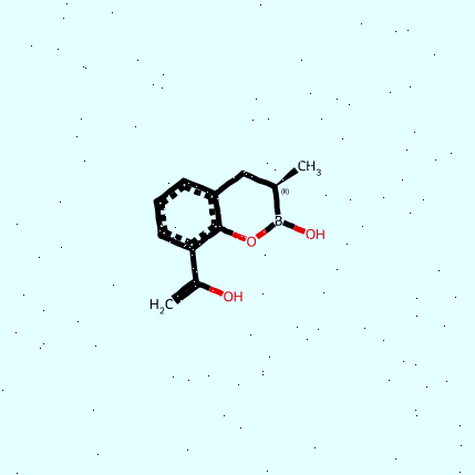 C=C(O)c1cccc2c1OB(O)[C@H](C)C2